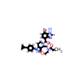 C=CC(=O)N1CCOc2nn(-c3ccc(C4CC4)cc3)c3c2C(C1)N(C(=O)c1ccc(Br)c2[nH]cnc12)CC3